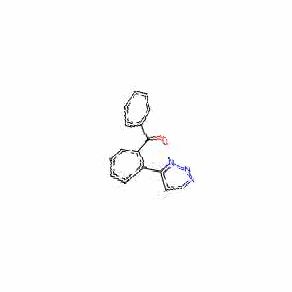 O=C(c1ccccc1)c1ccccc1-c1ccnnn1